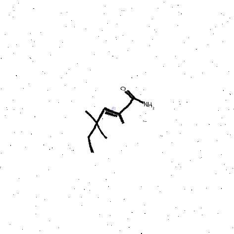 CCC(C)(C)/C=C(\C)C(N)=O